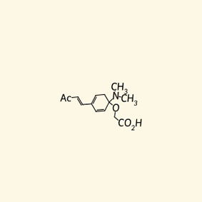 CC(=O)C=CC1=CCC(OCC(=O)O)(N(C)C)C=C1